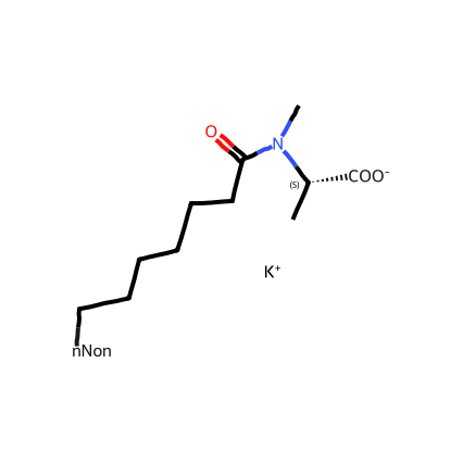 CCCCCCCCCCCCCCCC(=O)N(C)[C@@H](C)C(=O)[O-].[K+]